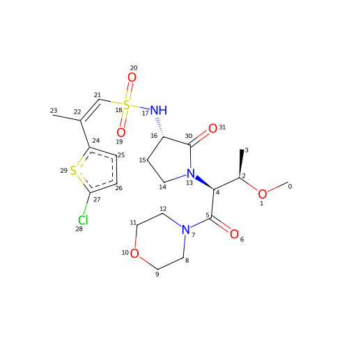 CO[C@H](C)[C@@H](C(=O)N1CCOCC1)N1CC[C@H](NS(=O)(=O)C=C(C)c2ccc(Cl)s2)C1=O